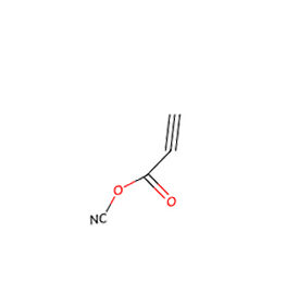 C#CC(=O)OC#N